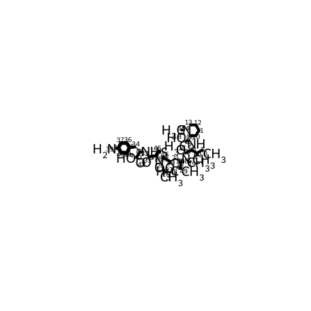 CC[C@H](C)[C@H](NC(C)(O)[C@H]1CCCCN1C)C(=O)N(C)[C@H](C[C@@H](OC(C)=O)c1nc(C(=O)N[C@@H](Cc2ccc(N)cc2)C(=O)O)cs1)C(C)C